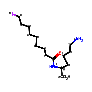 NCCCC[C@H](NC(=O)CCCCCCCCI)C(=O)O